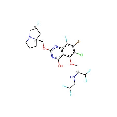 Oc1nc(OC[C@@]23CCCN2C[C@H](F)C3)nc2c(F)c(Br)c(Cl)c(OC[C@@H](NCC(F)F)C(F)F)c12